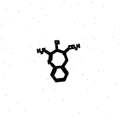 CCC1C(N)=Nc2ccccc2CN1C(=O)O